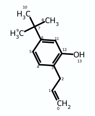 C=CCc1ccc(C(C)(C)C)cc1O